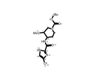 COC1CN(C(=O)OC(C)(C)C)CCC1NC(=O)c1nc(C(F)(F)F)c[nH]1